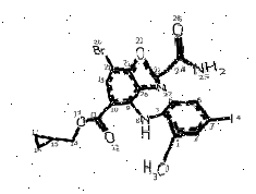 Cc1cc(I)ccc1Nc1c(C(=O)OCC2CC2)cc(Br)c2oc(C(N)=O)nc12